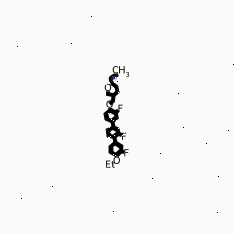 C/C=C/C1CCC(COc2ccc(-c3ccc(-c4ccc(OCC)c(F)c4)c(F)c3)cc2F)CO1